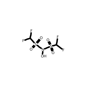 O=S(=O)(C(F)F)N(O)S(=O)(=O)C(F)F